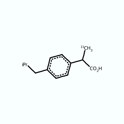 CC(C)Cc1ccc(C([11CH3])C(=O)O)cc1